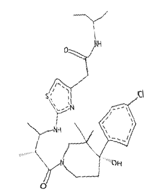 CC(C)NC(=O)Cc1csc(NC(C)[C@@H](C)C(=O)N2CC[C@](O)(c3ccc(Cl)cc3)C(C)(C)C2)n1